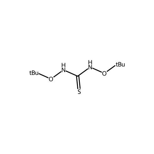 CC(C)(C)ONC(=S)NOC(C)(C)C